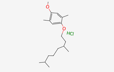 COc1cc(C)c(OCCC(C)CCCC(C)C)cc1C.Cl